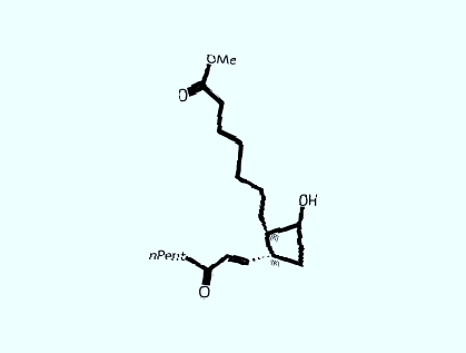 CCCCCC(=O)C=C[C@H]1CCC(O)[C@@H]1CCCCCCC(=O)OC